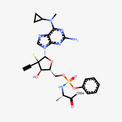 C#C[C@@]1(F)[C@H](O)[C@@H](CO[P@@](=O)(N[C@@H](C)C(=O)OC)Oc2ccccc2)O[C@H]1n1cnc2c(N(C)C3CC3)nc(N)nc21